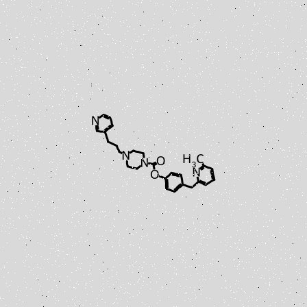 Cc1cccc(Cc2ccc(OC(=O)N3CCN(CCCc4cccnc4)CC3)cc2)n1